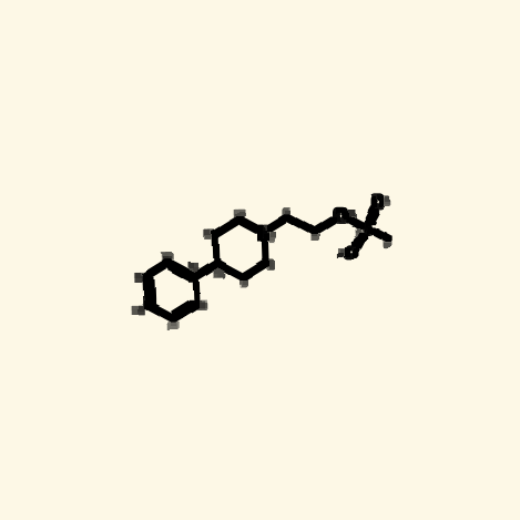 CS(=O)(=O)OCCN1CCC(c2ccccc2)CC1